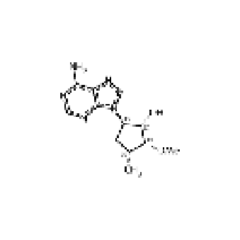 CO[C@H]1[C@@H](O)[C@H](n2cnc3c(N)ncnc32)C[C@H]1C